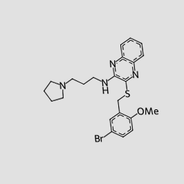 COc1ccc(Br)cc1CSc1nc2ccccc2nc1NCCCN1CCCC1